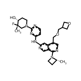 C[C@@H]1CCN1c1ncc(COCC2COC2)c2cc(Nc3ccnc(N4CC[C@@H](O)[C@@](C)(F)C4)n3)ncc12